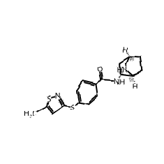 Cc1cc(Sc2ccc(C(=O)N[C@@H]3C[C@H]4CC[C@@H]3N4)cc2)ns1